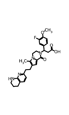 COc1ccc(C(CC(=O)O)N2CCn3c(cc(CCc4ccc5c(n4)NCCC5)c3C)C2=O)cc1F